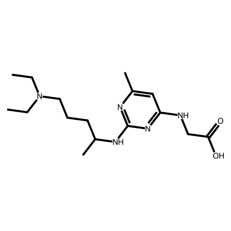 CCN(CC)CCCC(C)Nc1nc(C)cc(NCC(=O)O)n1